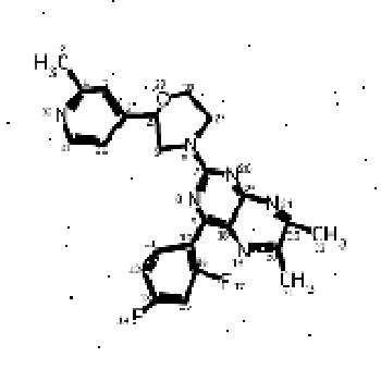 Cc1cc(C2CN(c3nc(-c4ccc(F)cc4F)c4nc(C)c(C)nc4n3)CCO2)ccn1